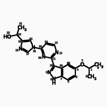 CC(C)Oc1ccc2[nH]nc(-c3nccc(-n4cnc(C(C)O)c4)n3)c2c1